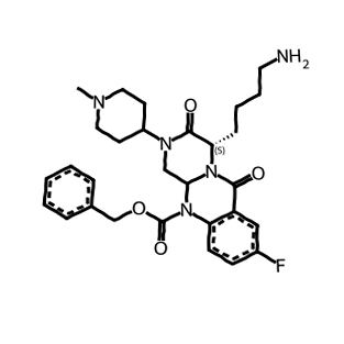 CN1CCC(N2CC3N(C(=O)OCc4ccccc4)c4ccc(F)cc4C(=O)N3[C@@H](CCCCN)C2=O)CC1